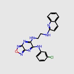 Clc1cccc(Nc2nc3nonc3nc2NCCNc2ccc3ccccc3n2)c1